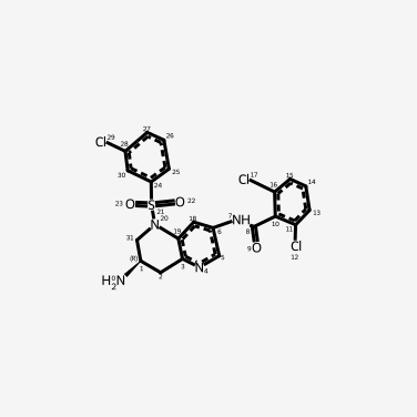 N[C@@H]1Cc2ncc(NC(=O)c3c(Cl)cccc3Cl)cc2N(S(=O)(=O)c2cccc(Cl)c2)C1